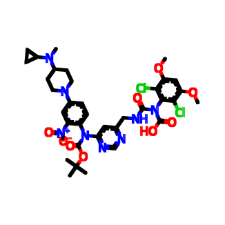 COc1cc(OC)c(Cl)c(N(C(=O)O)C(=O)NCc2cc(N(C(=O)OC(C)(C)C)c3ccc(N4CCC(N(C)C5CC5)CC4)cc3[N+](=O)[O-])ncn2)c1Cl